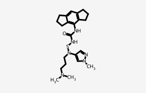 CN(C)CCCN(SNC(=O)Nc1c2c(cc3c1CCC3)CCC2)c1cnn(C)c1